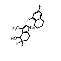 OC1c2c(C(F)(F)F)cn([C@H]3CCCc4cc(F)cc(F)c43)c2CCC1(F)F